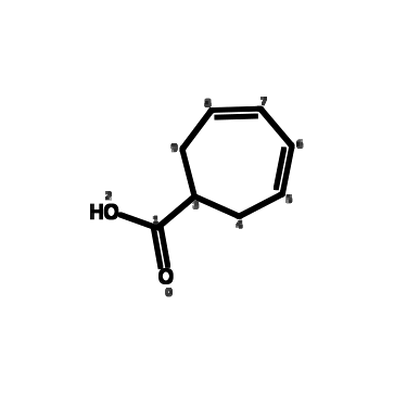 O=C(O)C1CC=CC=CC1